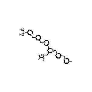 C=C(C)C(=O)NCc1cc(-c2ccc[n+](Cc3cccc(C[n+]4cccc(B(O)O)c4)c3)c2)c[n+](Cc2cccc(C[n+]3cccc(C)c3)c2)c1